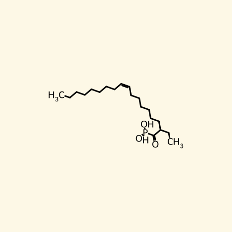 CCCCCCCC/C=C\CCCCCCC(CC)C(=O)[PH](=O)O